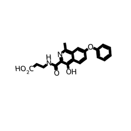 Cc1nc(C(=O)NCCC(=O)O)c(O)c2ccc(Oc3ccccc3)cc12